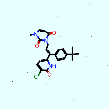 Cn1ccc(=O)n(C/C=C(\c2ccc(C(C)(C)C)cc2)c2ccc(Cl)c(=O)[nH]2)c1=O